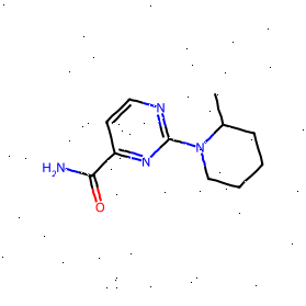 CC1CCCCN1c1nccc(C(N)=O)n1